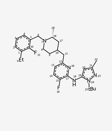 CCc1cccc(CN2CCC(Cc3ccc(F)c(Nc4cc(C)nn4C(C)(C)C)n3)C[C@H]2C)c1F